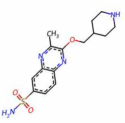 Cc1nc2cc(S(N)(=O)=O)ccc2nc1OCC1CCNCC1